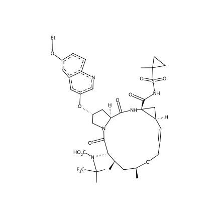 CCOc1ccc2ncc(O[C@@H]3C[C@H]4C(=O)N[C@]5(C(=O)NS(=O)(=O)C6(C)CC6)C[C@H]5C=CCC[C@@H](C)C[C@@H](C)[C@H](N(C(=O)O)C(C)(C)C(F)(F)F)C(=O)N4C3)cc2c1